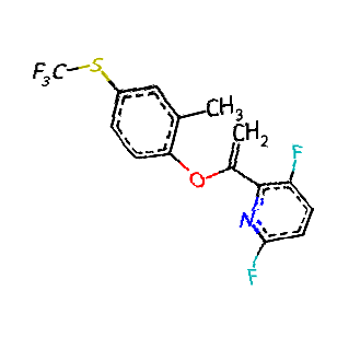 C=C(Oc1ccc(SC(F)(F)F)cc1C)c1nc(F)ccc1F